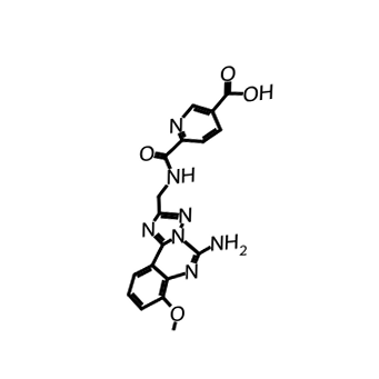 COc1cccc2c1nc(N)n1nc(CNC(=O)c3ccc(C(=O)O)cn3)nc21